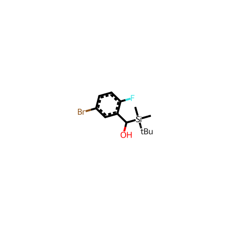 CC(C)(C)[Si](C)(C)C(O)c1cc(Br)ccc1F